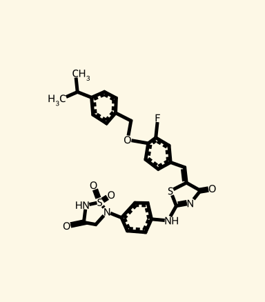 CC(C)c1ccc(COc2ccc(/C=C3\SC(Nc4ccc(N5CC(=O)NS5(=O)=O)cc4)=NC3=O)cc2F)cc1